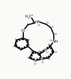 CC1COc2cccc(c2)-c2cnn3ccc(nc23)NCCCN1